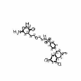 CN1Cc2c(Cl)cc(Cl)cc2[C@H](c2ccc(S(=O)(=O)NCCOCCC(CC(N)=O)C(N)=O)cc2)C1